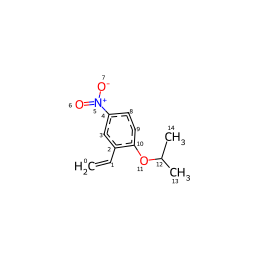 C=Cc1cc([N+](=O)[O-])ccc1OC(C)C